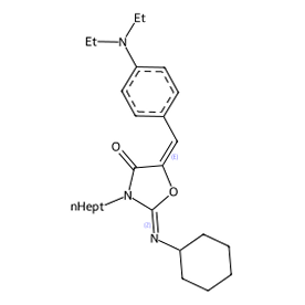 CCCCCCCN1C(=O)/C(=C\c2ccc(N(CC)CC)cc2)O/C1=N\C1CCCCC1